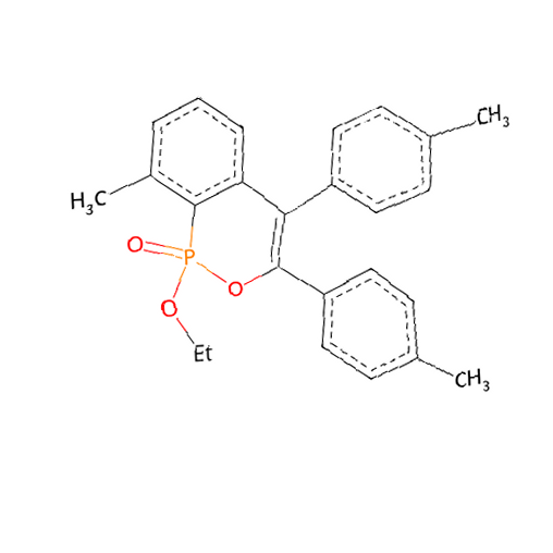 CCOP1(=O)OC(c2ccc(C)cc2)=C(c2ccc(C)cc2)c2cccc(C)c21